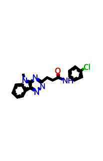 Cn1c2ccccc2c2nnc(CCC(=O)Nc3ccc(Cl)cc3)nc21